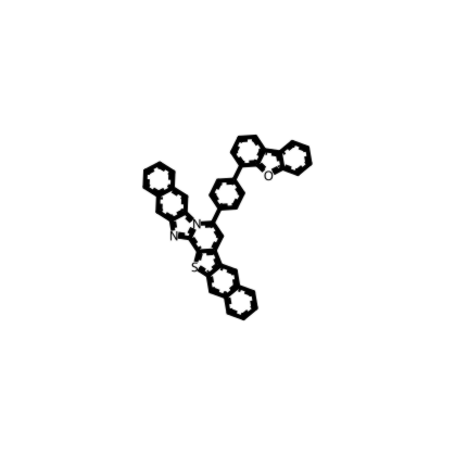 c1ccc2cc3c(cc2c1)nc1c2sc4cc5ccccc5cc4c2cc(-c2ccc(-c4cccc5c4oc4ccccc45)cc2)n31